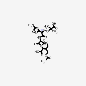 CC(=O)OCC1=C(C(=O)O)N2C(=O)C(NC(=O)/C(=N\OC(C)(C)C(=O)O)c3noc(N)n3)[C@@H]2SC1